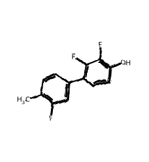 Cc1ccc(-c2ccc(O)c(F)c2F)cc1F